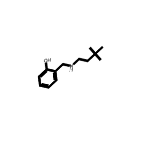 CC(C)(C)CCNCc1ccccc1O